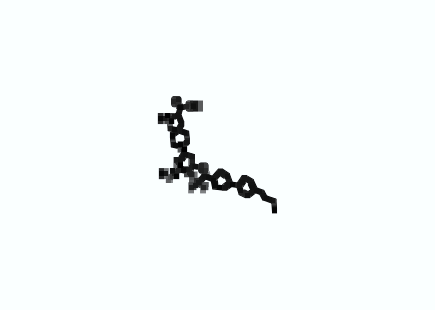 CCCCc1ccc(-c2ccc([C@@H](Oc3cc(N4CCC5(CC4)CNC(C(=O)O)C5)nc(N)n3)C(F)(F)F)cc2)cc1